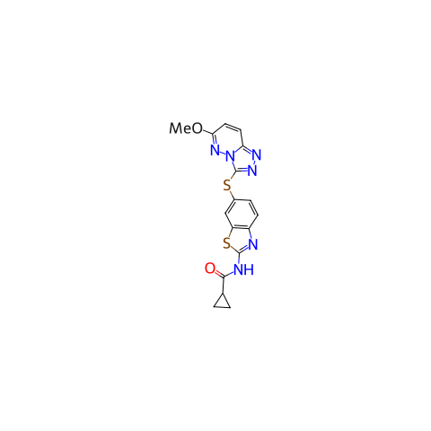 COc1ccc2nnc(Sc3ccc4nc(NC(=O)C5CC5)sc4c3)n2n1